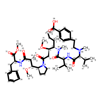 CC[C@H](C)[C@@H]([C@@H](CC(=O)N1CCC[C@H]1[C@H](OC)[C@@H](C)C(=O)N[C@@H](Cc1ccccc1)C(=O)OC)OC)N(C)C(=O)C(NC(=O)[C@H](C(C)C)N(C)CCc1ccc(C(=O)O)cc1)C(C)C